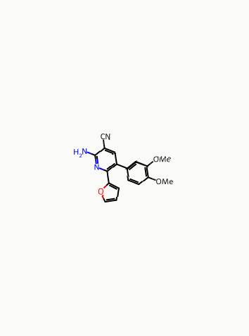 COc1ccc(-c2cc(C#N)c(N)nc2-c2ccco2)cc1OC